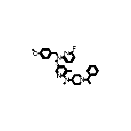 COc1ccc(CN(Sc2cnc(N(C)C3CCN(C(C)c4ccccc4)CC3)c(C)c2)c2cccc(F)n2)cc1